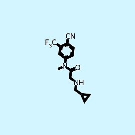 CN(C(=O)CNCC1CC1)c1ccc(C#N)c(C(F)(F)F)c1